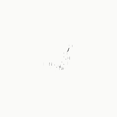 N.N.N.N.N.[Cl][Cr]